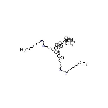 CCCCCCCC/C=C\C/C=C\CCCCC(=O)OC[C@H](COP(=O)([O-])OCC[N+](C)(C)C)OC(=O)CCCC/C=C\C/C=C\CCCCCCCC